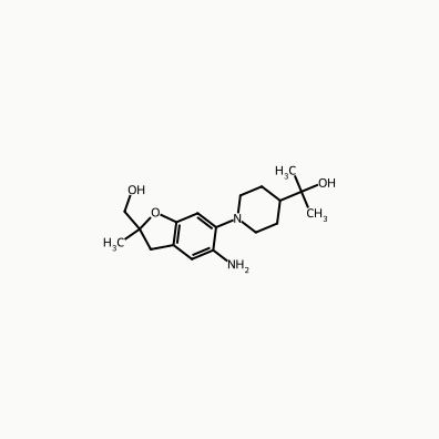 CC1(CO)Cc2cc(N)c(N3CCC(C(C)(C)O)CC3)cc2O1